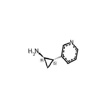 N[C@@H]1C[C@H]1c1cccnc1